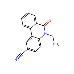 CCn1c(=O)c2ccccc2c2cc(C#N)ccc21